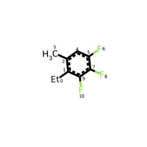 CCc1c(C)cc(F)c(F)c1F